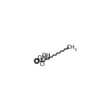 CCCCCCCCCCCCCCC(Cl)(C(=O)NO)c1ccccc1